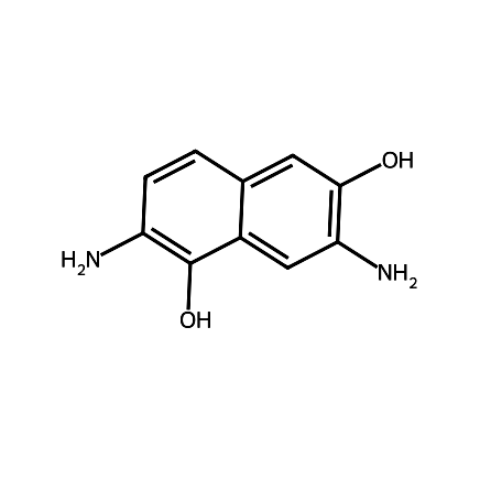 Nc1cc2c(O)c(N)ccc2cc1O